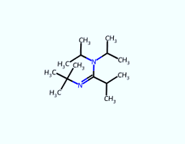 CC(C)C(=NC(C)(C)C)N(C(C)C)C(C)C